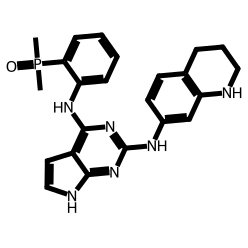 CP(C)(=O)c1ccccc1Nc1nc(Nc2ccc3c(c2)NCCC3)nc2[nH]ccc12